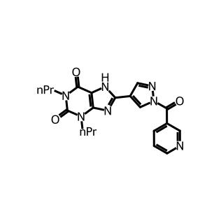 CCCn1c(=O)c2[nH]c(-c3cnn(C(=O)c4cccnc4)c3)nc2n(CCC)c1=O